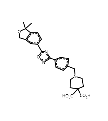 CC1(C)OCc2cc(-c3nc(-c4ccc(CN5CCC(C(=O)O)(C(=O)O)CC5)cc4)no3)ccc21